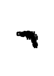 CN(CC(=O)NNC1CCN(c2ccncc2)CC1)S(=O)(=O)c1ccc2cc(Cl)ccc2c1